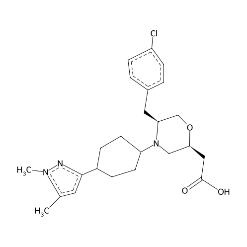 Cc1cc(C2CCC(N3C[C@H](CC(=O)O)OC[C@@H]3Cc3ccc(Cl)cc3)CC2)nn1C